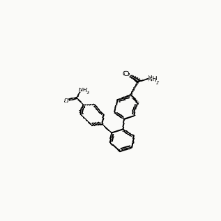 NC(=O)c1ccc(-c2ccccc2-c2ccc(C(N)=O)cc2)cc1